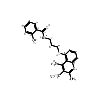 CCOC(=O)c1c(C)nc2cccc(OCCCNC(=O)c3ccccc3O)c2c1N